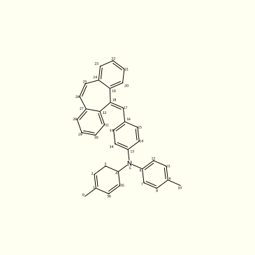 CC1=CCC(N(c2ccc(C)cc2)c2ccc(C=C3c4ccccc4C=Cc4ccccc43)cc2)C=C1